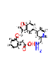 NCc1cc(-c2ccc3occ(COc4ccccc4CC(=O)O)c3c2)ccn1